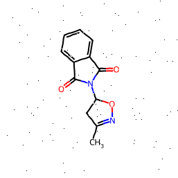 CC1=NOC(N2C(=O)c3ccccc3C2=O)C1